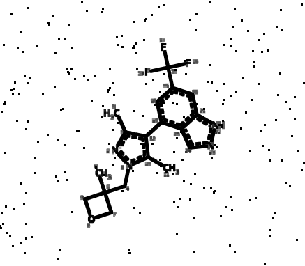 Cc1nn(CC2(C)COC2)c(C)c1-c1cc(C(F)(F)F)cc2[nH]ncc12